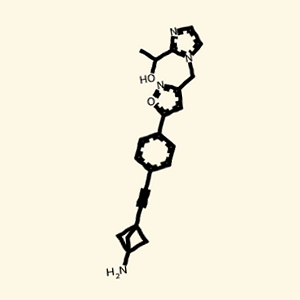 CC(O)c1nccn1Cc1cc(-c2ccc(C#CC34CC(N)(C3)C4)cc2)on1